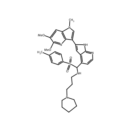 COc1cc2c(nc1OC)c(-c1cc3c(C(NCCCN4CCCCC4)S(=O)(=O)c4ccc(C)cc4)ccnc3[nH]1)cn2C